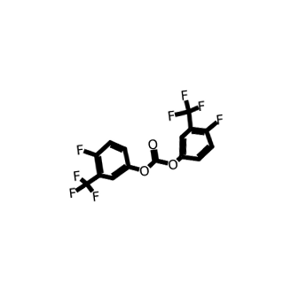 O=C(Oc1ccc(F)c(C(F)(F)F)c1)Oc1ccc(F)c(C(F)(F)F)c1